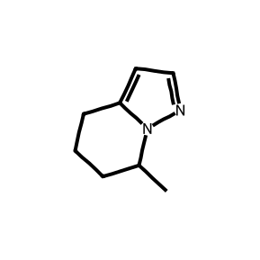 CC1CCCc2ccnn21